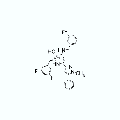 CCc1cccc(CNC[C@@H](O)[C@H](Cc2cc(F)cc(F)c2)NC(=O)c2cc(-c3ccccc3)n(C)n2)c1